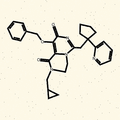 O=C1c2c(OCc3ccccc3)c(=O)nc(CC3(c4ccccn4)CCCC3)n2CCN1CC1CC1